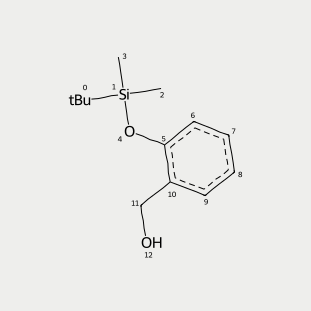 CC(C)(C)[Si](C)(C)Oc1ccccc1CO